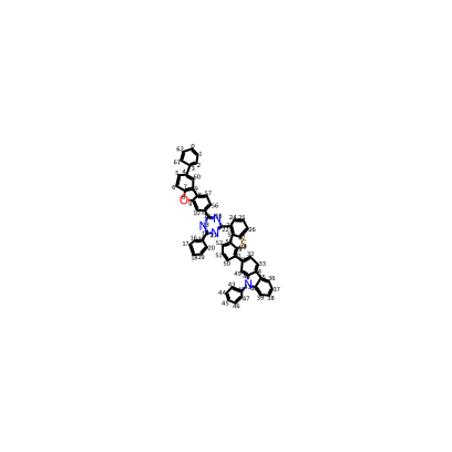 c1ccc(-c2ccc3oc4cc(-c5nc(-c6ccccc6)nc(-c6cccc7sc8c(-c9ccc%10c%11ccccc%11n(-c%11ccccc%11)c%10c9)cccc8c67)n5)ccc4c3c2)cc1